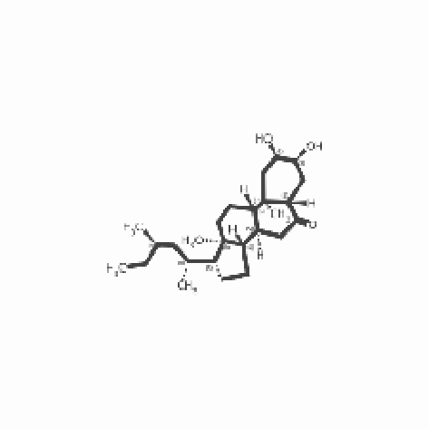 CC[C@@H](C)C[C@@H](C)[C@H]1CC[C@H]2[C@@H]3CC(=O)[C@H]4C[C@H](O)[C@H](O)C[C@]4(C)[C@H]3CC[C@]12C